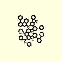 CC1(C)c2ccccc2-c2cc(N(c3cc4cccc(-c5ccccc5)c4c4ccccc34)c3cc4c(N5C=CC=NC5)cc5c(/C(=N\c6ccccc6)c6ccccc6)cc6oc7c(-c8ccccc8C8CCCCC8)cccc7c6c5c4c4oc5cc(-c6ccccc6)ccc5c34)ccc21